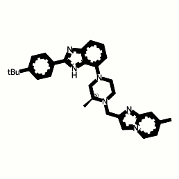 Cc1ccn2cc(CN3CCN(c4cccc5nc(-c6ccc(C(C)(C)C)cc6)[nH]c45)C[C@@H]3C)nc2c1